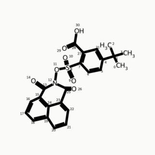 CC(C)(C)c1ccc(S(=O)(=O)ON2C(=O)c3cccc4cccc(c34)C2=O)c(C(=O)O)c1